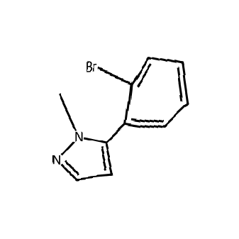 Cn1nccc1-c1ccccc1Br